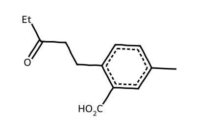 CCC(=O)CCc1ccc(C)cc1C(=O)O